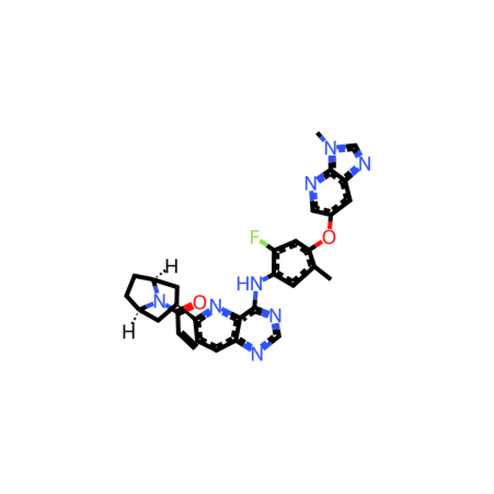 C=CC(=O)N1[C@@H]2CC[C@H]1C[C@@H](c1ccc3ncnc(Nc4cc(C)c(Oc5cnc6c(c5)ncn6C)cc4F)c3n1)C2